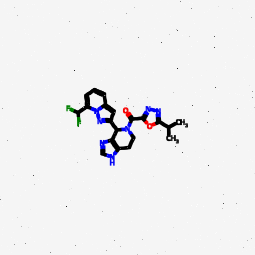 CC(C)c1nnc(C(=O)N2CCc3[nH]cnc3C2c2cc3cccc(C(F)F)n3n2)o1